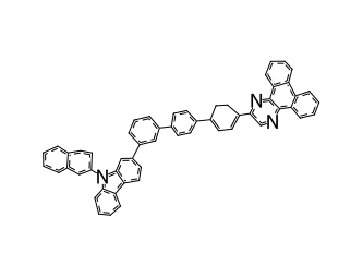 C1=C(c2ccc(-c3cccc(-c4ccc5c6ccccc6n(-c6ccc7ccccc7c6)c5c4)c3)cc2)CCC(c2cnc3c4ccccc4c4ccccc4c3n2)=C1